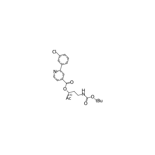 CC(=O)[C@H](CCNC(=O)OC(C)(C)C)OC(=O)c1ccnc(-c2cccc(Cl)c2)c1